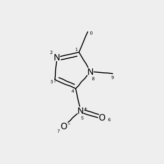 Cc1n[c]c([N+](=O)[O-])n1C